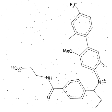 COc1cc2c(ccn2C(CC(C)C)c2ccc(C(=O)NCCC(=O)O)cc2)cc1-c1ccc(C(F)(F)F)cc1C